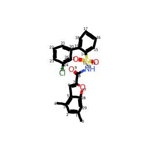 Cc1cc(C)c2cc(C(=O)NS(=O)(=O)c3ccccc3-c3cccc(Cl)c3)oc2c1